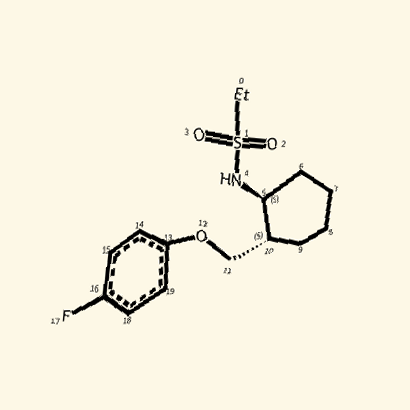 CCS(=O)(=O)N[C@H]1CCCC[C@@H]1COc1ccc(F)cc1